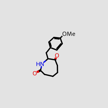 COc1ccc(CC2NC(=O)CCCCC2=O)cc1